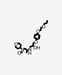 CCCOCCOc1ccc(OC[C@@H](O)CNC(C)CN(C=O)C2CCOCC2)cc1